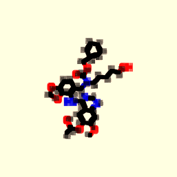 COc1cc2ncnc(Nc3c(CN(CCCCCO)C(=O)OCc4ccccc4)ccc4c3OCO4)c2cc1OC(C)=O